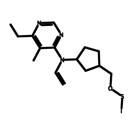 C=CN(c1ncnc(CC)c1C)C1CCC(COSI)C1